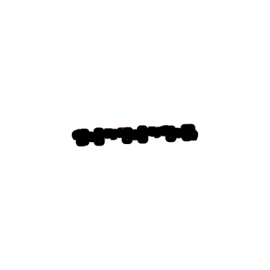 CCC(C)(c1ccc(OC(=O)c2ccc(C(=O)Oc3ccccc3OC)cc2)cc1)c1ccc(C(C)(C)OC(=O)c2ccc(C(=O)Oc3ccc(C(C)(CC)c4ccc(C(C)(C)OC(=O)c5ccc(C(=O)Oc6ccccc6OC)cc5)cc4)cc3)cc2)cc1